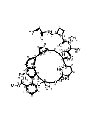 C=CC(=O)NC[C@H]1CCN1C(=O)N(C)[C@H](C(=O)N[C@H]1Cc2nc(cs2)-c2ccc3c(c2)c(c(-c2cccnc2[C@H](C)OC)n3CC)CC(C)(C)COC[C@@]2(C=O)CCCN(N2)C1=O)C(C)C